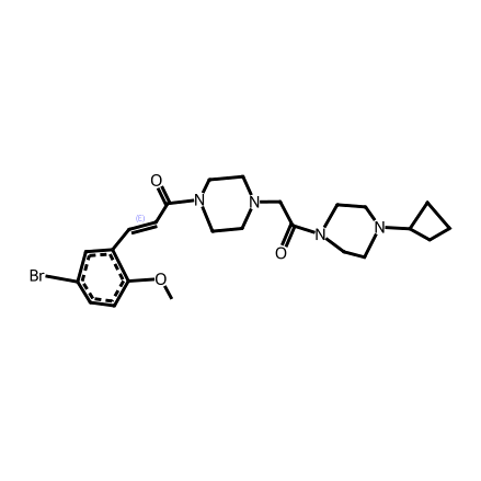 COc1ccc(Br)cc1/C=C/C(=O)N1CCN(CC(=O)N2CCN(C3CCC3)CC2)CC1